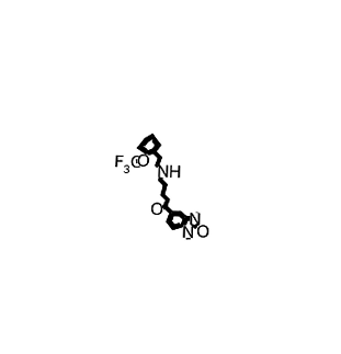 Cn1c(=O)n(C)c2cc(C(=O)CCCCNCCc3ccccc3OC(F)(F)F)ccc21